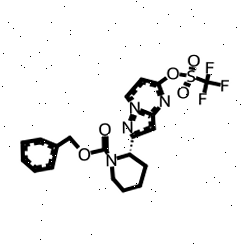 O=C(OCc1ccccc1)N1CCCC[C@H]1c1cc2nc(OS(=O)(=O)C(F)(F)F)ccn2n1